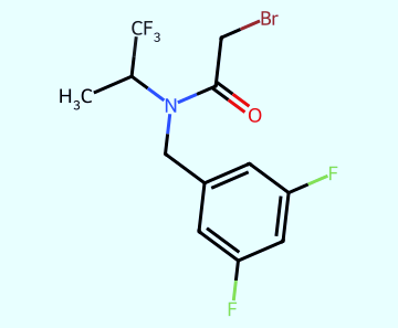 CC(N(Cc1cc(F)cc(F)c1)C(=O)CBr)C(F)(F)F